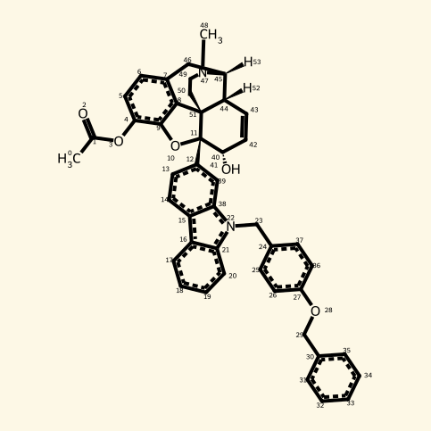 CC(=O)Oc1ccc2c3c1O[C@@]1(c4ccc5c6ccccc6n(Cc6ccc(OCc7ccccc7)cc6)c5c4)[C@@H](O)C=C[C@H]4[C@@H](C2)N(C)CC[C@@]341